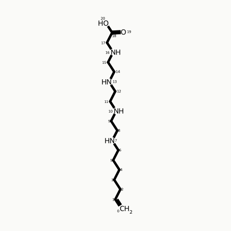 C=CCCCCCNCCNCCNCCNCC(=O)O